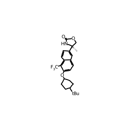 CC(C)(C)C1CCC(Oc2ccc3cc([C@]4(C)COC(=O)N4)ccc3c2C(F)(F)F)CC1